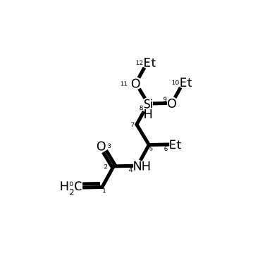 C=CC(=O)NC(CC)C[SiH](OCC)OCC